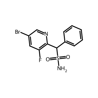 NS(=O)(=O)C(c1ccccc1)c1ncc(Br)cc1F